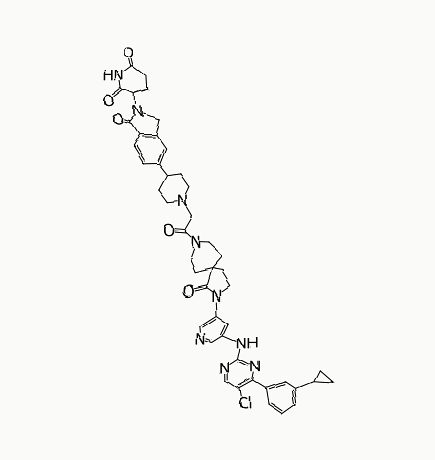 O=C1CCC(N2Cc3cc(C4CCN(CC(=O)N5CCC6(CC5)CCN(c5cncc(Nc7ncc(Cl)c(-c8cccc(C9CC9)c8)n7)c5)C6=O)CC4)ccc3C2=O)C(=O)N1